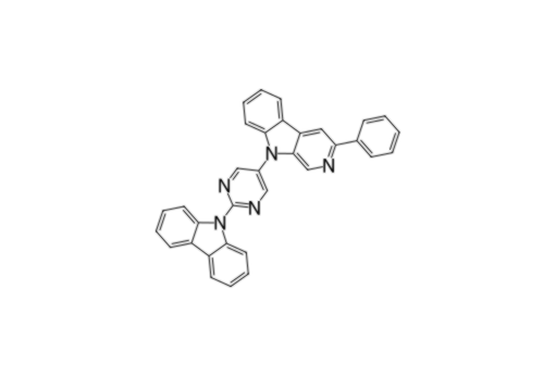 c1ccc(-c2cc3c4ccccc4n(-c4cnc(-n5c6ccccc6c6ccccc65)nc4)c3cn2)cc1